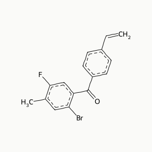 C=Cc1ccc(C(=O)c2cc(F)c(C)cc2Br)cc1